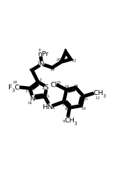 CCCN(Cc1sc(Nc2c(C)cc(C)cc2Cl)nc1C(F)(F)F)CC1CC1